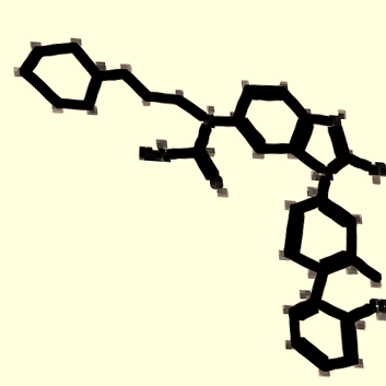 CCCCc1nc2ccc(N(CCCC3CCCCC3)C(=O)NC)cc2n1-c1ccc(-c2ccccc2C(=O)O)c(C)c1